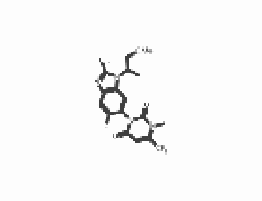 COCC(C)n1c(C(F)(F)F)nc2cc(F)c(-n3c(=O)cc(C(F)(F)F)n(C)c3=O)cc21